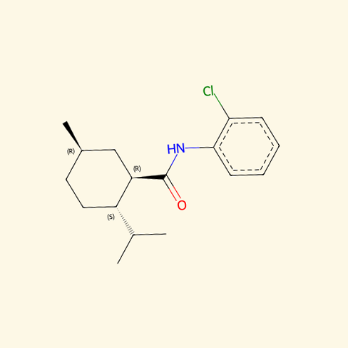 CC(C)[C@@H]1CC[C@@H](C)C[C@H]1C(=O)Nc1ccccc1Cl